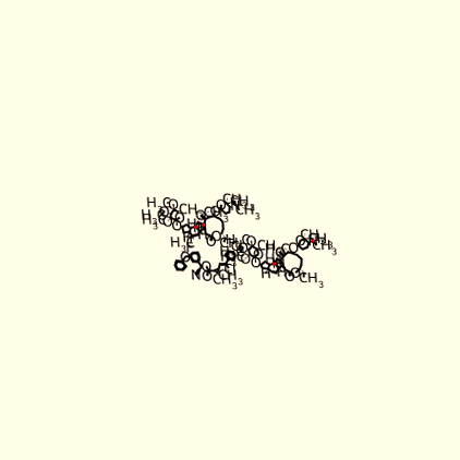 CC1(C)C(/C=C(\Cl)c2ccc(Cl)cc2)C1C(=O)OC(C#N)c1ccc(F)c(Oc2ccccc2)c1.CC[C@H]1CCC[C@H](O[C@H]2CC[C@H](N(C)C)[C@@H](C)O2)[C@@H](C)C(=O)C2=C[C@@H]3[C@@H](C=C(C)[C@@H]4C[C@@H](O[C@@H]5O[C@@H](C)[C@H](OC)[C@@H](OC)[C@H]5OC)C[C@@H]34)[C@@H]2CC(=O)O1.CC[C@H]1CCC[C@H](O[C@H]2CC[C@H](N(C)C)[C@@H](C)O2)[C@@H](C)C(=O)C2=C[C@@H]3[C@@H](C=C[C@@H]4C[C@@H](O[C@@H]5O[C@@H](C)[C@H](OC)[C@@H](OC)[C@H]5OC)C[C@@H]34)[C@@H]2CC(=O)O1